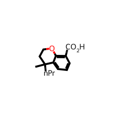 CCCC1(C)CCOc2c(C(=O)O)cccc21